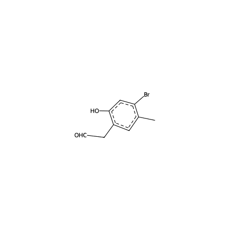 Cc1cc(CC=O)c(O)cc1Br